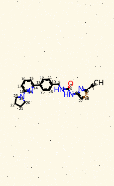 C#Cc1nc(NC(=O)NCc2ccc(-c3cccc(N4CCCC4)n3)cc2)cs1